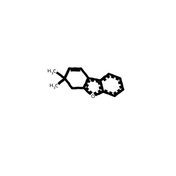 CC1(C)C=Cc2c(oc3ccccc23)C1